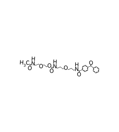 CC(=O)NCCOCCOC(=O)NCCCOCCCNC(=O)c1ccc(C(=O)c2ccccc2)cc1